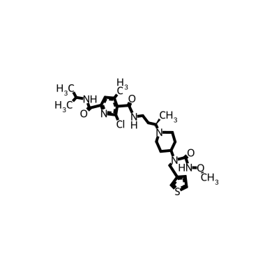 CONC(=O)N(Cc1ccsc1)C1CCN([C@H](C)CCNC(=O)c2c(C)cc(C(=O)NC(C)C)nc2Cl)CC1